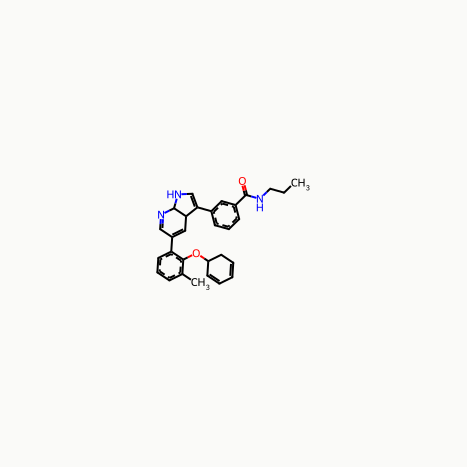 CCCNC(=O)c1cccc(C2=CNC3N=CC(c4cccc(C)c4OC4C=CC=CC4)=CC23)c1